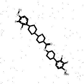 CCCCOc1ccc(C2CCC(OC(=O)C3CCC(C4CCC(c5ccc(OCC)c(F)c5F)CC4)CC3)CC2)c(F)c1F